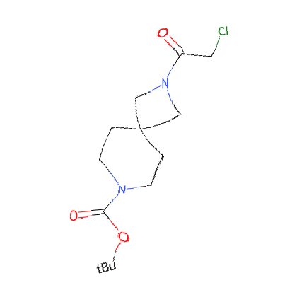 CC(C)(C)OC(=O)N1CCC2(CC1)CN(C(=O)CCl)C2